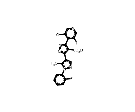 CCOC(=O)c1c(-c2c(F)cncc2Cl)noc1-c1cnn(-c2ccccc2F)c1C(F)(F)F